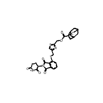 O=C1CCC(N2C(=O)c3cccc(SCc4csc(COC(=O)C56CC7CC(CC5C7)C6)n4)c3C2=O)C(=O)N1